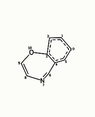 [c]1ccc2c(c1)C=NC=CO2